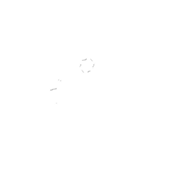 CC(C)(C)OC(=O)NCC1CCOc2cc(C3CCCCC3)ccc21